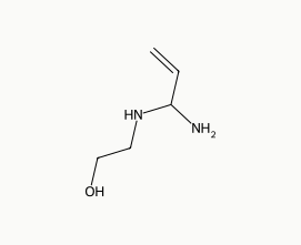 C=CC(N)NCCO